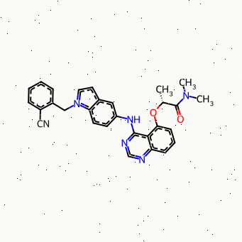 C[C@@H](Oc1cccc2ncnc(Nc3ccc4c(ccn4Cc4ccccc4C#N)c3)c12)C(=O)N(C)C